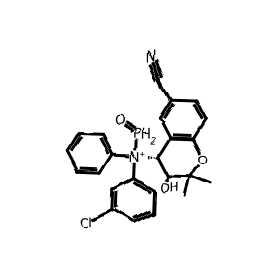 CC1(C)Oc2ccc(C#N)cc2[C@@H]([N+]([PH2]=O)(c2ccccc2)c2cccc(Cl)c2)[C@@H]1O